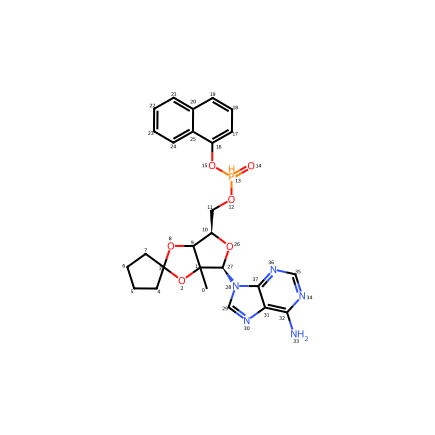 CC12OC3(CCCC3)OC1[C@@H](CO[PH](=O)Oc1cccc3ccccc13)O[C@H]2n1cnc2c(N)ncnc21